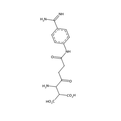 N=C(N)c1ccc(NC(=O)CCC(=O)C(N)C(C(=O)O)C(=O)O)cc1